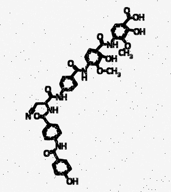 COc1c(NC(=O)c2ccc(NC(=O)c3ccc(NC(=O)C(CC#N)NC(=O)c4ccc(NC(=O)c5ccc(O)cc5)cc4)cc3)c(OC)c2O)ccc(C(=O)O)c1O